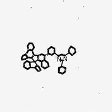 c1ccc(-c2cc(-c3cccc(-c4cc5c(c6ccccc46)C4(c6ccccc6-c6ccccc64)c4c-5c5ccccc5c5ccccc45)c3)nc(-c3ccccc3)n2)cc1